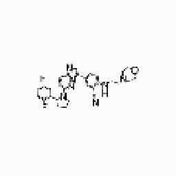 N#Cc1cc(-c2cnc3ccc(N4CCCC4c4cc(F)ccc4F)nn23)ccc1NCCN1CCOCC1